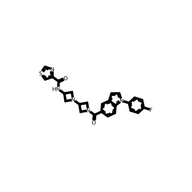 O=C(NC1CN(C2CN(C(=O)c3ccc4c(ccn4-c4ccc(F)cc4)c3)C2)C1)c1cscn1